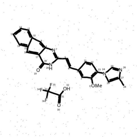 COc1cc(C=Cc2nc3cc4ccccc4cc3c(=O)[nH]2)ccc1-n1cnc(C)c1.O=C(O)C(F)(F)F